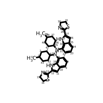 CC1CCC(N(c2cccc3cc(C4=NCCS4)[nH]c23)N(c2cccc3cc(C4=NCCS4)[nH]c23)C2CCC(C)CC2)CC1